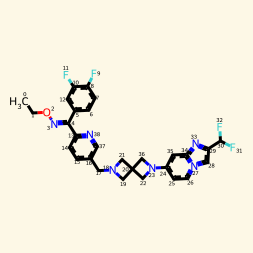 CCO/N=C(\c1ccc(F)c(F)c1)c1ccc(CN2CC3(C2)CN(c2ccn4cc(C(F)F)nc4c2)C3)cn1